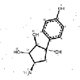 N[C@@H]1C[C@](O)(c2ccc(O)cc2)[C@H](O)[C@H]1O